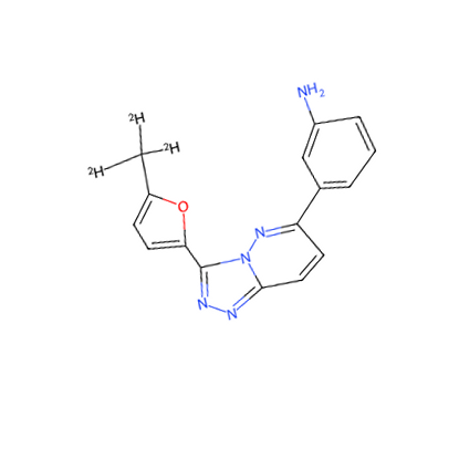 [2H]C([2H])([2H])c1ccc(-c2nnc3ccc(-c4cccc(N)c4)nn23)o1